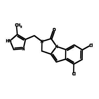 Cc1[nH]cnc1CN1Cc2cc3c(Cl)cc(Cl)cc3n2C1=O